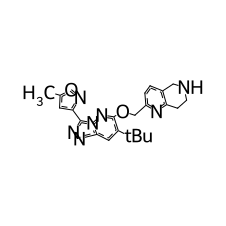 Cc1cc(-c2nnc3cc(C(C)(C)C)c(OCc4ccc5c(n4)CCNC5)nn23)no1